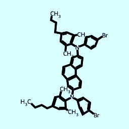 CCCCc1cc(C)c(N(c2ccc(Br)cc2)c2ccc3c(ccc4cc(N(c5ccc(Br)cc5)c5c(C)cc(CCCC)cc5C)ccc43)c2)c(C)c1